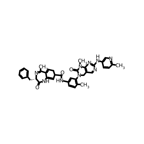 CC1=N[C@@H](Cc2ccccc2)C(=O)NC2=CC(C(=O)Nc3ccc(C)c(N4Cc5cnc(Nc6ccc(C)nc6)nc5N(C)C4=O)c3)CC=C21